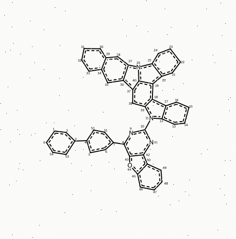 c1ccc(-c2ccc(-c3nc(-n4c5ccccc5c5c6c7ccccc7n7c8cc9ccccc9cc8c(cc54)c67)nc4c3oc3ccccc34)cc2)cc1